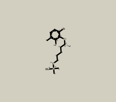 Cc1ccc(Br)c(O[C@H](C)CCCCO[Si](C)(C)C(C)(C)C)c1F